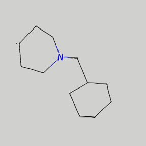 [CH]1CCN(CC2CCCCC2)CC1